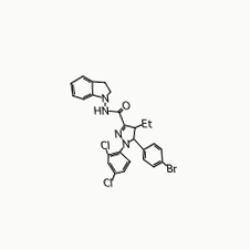 CCC1C(C(=O)NN2CCc3ccccc32)=NN(c2ccc(Cl)cc2Cl)C1c1ccc(Br)cc1